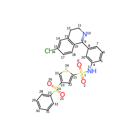 O=S(=O)(Nc1cccc(C2=NCCc3cc(Cl)ccc32)c1)c1cc(S(=O)(=O)c2ccccc2)cs1